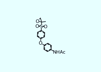 CC(=O)Nc1ccc(Oc2ccc(S(=O)(=O)C3(C)CO3)cc2)cc1